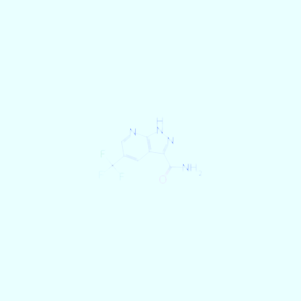 NC(=O)c1n[nH]c2ncc(C(F)(F)F)cc12